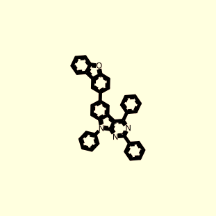 c1ccc(-c2nc(-c3ccccc3)c3c4cc(-c5ccc6oc7ccccc7c6c5)ccc4n(-c4ccccc4)c3n2)cc1